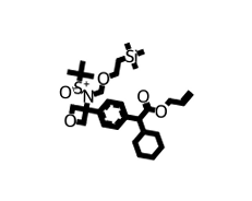 C=CCOC(=O)C(c1ccc(C2(N(COCC[Si](C)(C)C)[S+]([O-])C(C)(C)C)COC2)cc1)C1CCCCC1